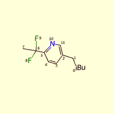 CCC(C)Cc1ccc(C(C)(F)F)nc1